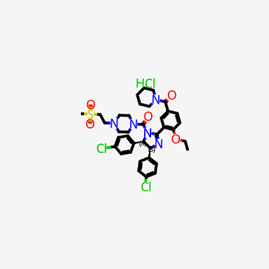 CCOc1ccc(C(=O)N2CCCCC2)cc1C1=N[C@@H](c2ccc(Cl)cc2)[C@@H](c2ccc(Cl)cc2)N1C(=O)N1CCN(CCS(C)(=O)=O)CC1.Cl